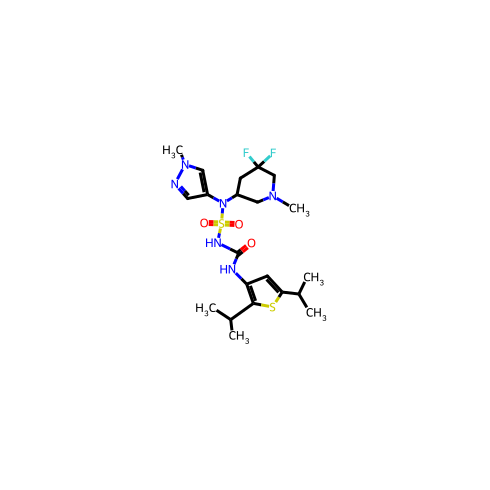 CC(C)c1cc(NC(=O)NS(=O)(=O)N(c2cnn(C)c2)C2CN(C)CC(F)(F)C2)c(C(C)C)s1